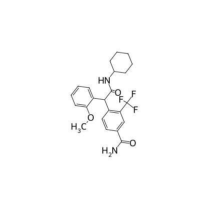 COc1ccccc1C(C(=O)NC1CCCCC1)c1ccc(C(N)=O)cc1C(F)(F)F